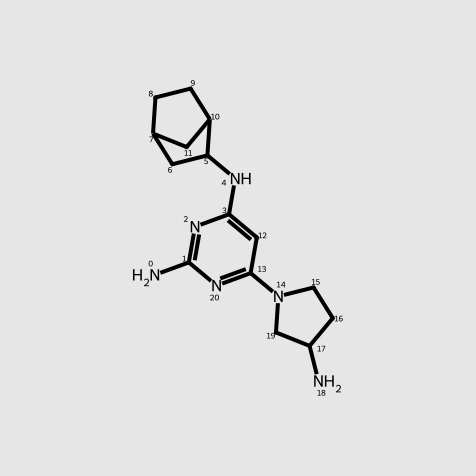 Nc1nc(NC2CC3CCC2C3)cc(N2CCC(N)C2)n1